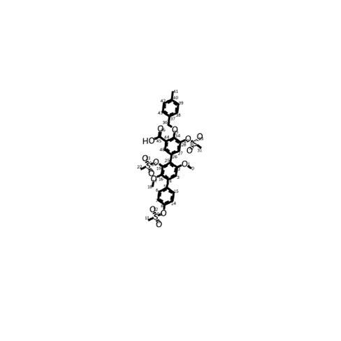 COc1cc(-c2ccc(OS(C)(=O)=O)cc2)c(OC)c(OS(C)(=O)=O)c1-c1cc(OS(C)(=O)=O)c(OCc2ccc(C)cc2)c(C(=O)O)c1